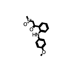 COc1ccc(Nc2ccccc2C(=O)C[S+](C)[O-])cc1